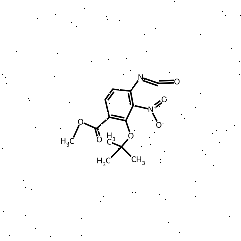 COC(=O)c1ccc(N=C=O)c([N+](=O)[O-])c1OC(C)(C)C